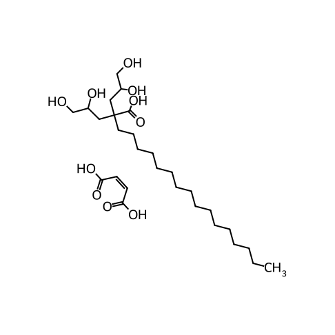 CCCCCCCCCCCCCCCCC(CC(O)CO)(CC(O)CO)C(=O)O.O=C(O)/C=C\C(=O)O